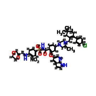 C[C@H]1CN(c2ccc(C(=O)NS(=O)(=O)c3ccc(NC[C@H]4COCCO4)c([N+](=O)[O-])c3)c(Oc3cnc4[nH]ccc4c3)c2)CCN1CC1=C(c2ccc(Cl)cc2)CCC(C)(C)C1